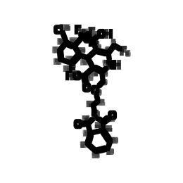 O=C(O)C1=C(CF)NC(COCCN2C(=O)c3ccccc3C2=O)=C(C(=O)O)C1c1c(F)ccc(Cl)c1C(F)(F)F